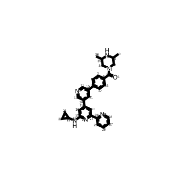 CC1CN(C(=O)c2ccc(-c3cncc(-c4cc(NC5CC5)nc(-c5ccccn5)c4)c3)cc2)CC(C)N1